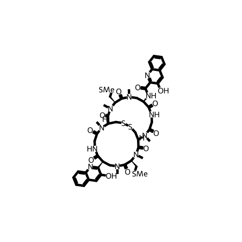 CSC[C@H]1C(=O)N(C)C[C@@H](c2nc3ccccc3cc2O)C(=O)NCC(=O)N(C)[C@H]2CSSC[C@@H](C(=O)N1C)N(C)C(=O)CNC(=O)[C@H](NC(=O)c1nc3ccccc3cc1O)CN(C)C(=O)[C@H](CSC)N(C)C2=O